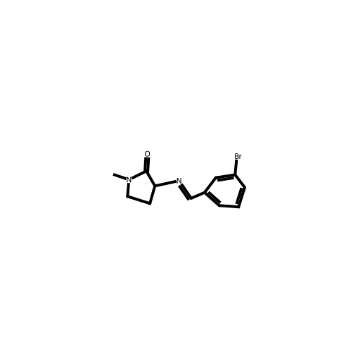 CN1CCC(N=Cc2cccc(Br)c2)C1=O